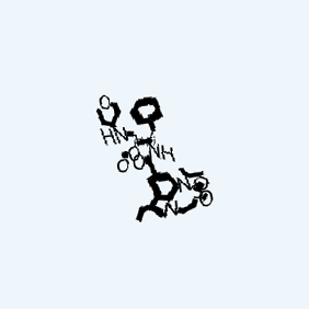 CCc1cn2c3c(cc(C(=O)N[C@@H](Cc4ccccc4)[C@@H](CNC4CCOCC4)OC=O)cc13)N(C(C)C)S(=O)(=O)CC2